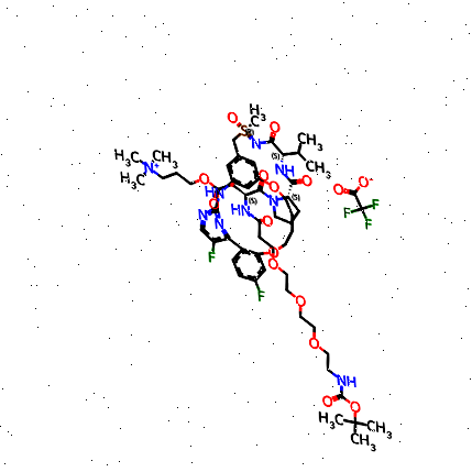 CC(C)[C@H](NC(=O)[C@@H]1CCCN1C(=O)[C@H](CC(=O)OCCC[N+](C)(C)C)NC(=O)CCOCCOCCOCCNC(=O)OC(C)(C)C)C(=O)N=[S@](C)(=O)Cc1cc2cc(c1)OCCCCOc1cc(F)ccc1-c1nc(ncc1F)N2.O=C([O-])C(F)(F)F